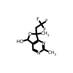 Cc1ncc2c(n1)C(C)(CC(F)(F)F)OC2O